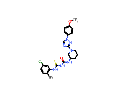 CC(C)c1ccc(Cl)cc1NC(=S)NC(=O)NC1CCCN(c2ncn(-c3ccc(OC(F)(F)F)cc3)n2)C1